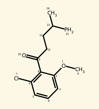 COc1cccc(Cl)c1C(=O)CCC(C)P